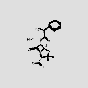 CC1(C)S[C@@H]2[C@H](NC(=O)[C@@H](N)c3ccccc3)C(=O)N2[C@H]1C(=O)[O-].[Na+]